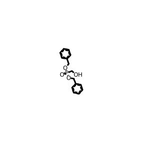 O=P(CO)(OCc1ccccc1)OCc1ccccc1